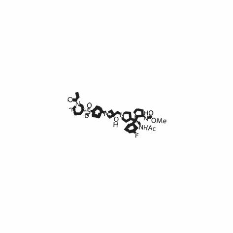 C=CC(=O)N1C[C@H](S(=O)(=O)c2ccc(N3CC(O)(CN4CCC([C@@](CNC(C)=O)(c5cccc(F)c5)[C@H]5CCC[C@@H]5NC(=O)OC)CC4)C3)cc2)CC[C@@H]1C